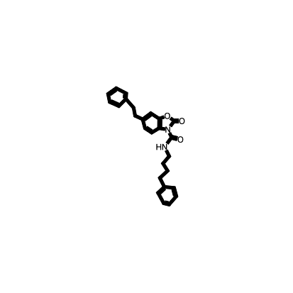 O=C(NCCCCc1ccccc1)n1c(=O)oc2cc(CCc3ccccc3)ccc21